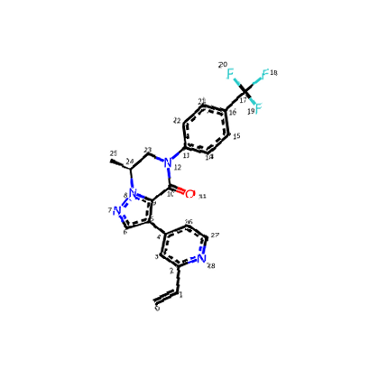 C=Cc1cc(-c2cnn3c2C(=O)N(c2ccc(C(F)(F)F)cc2)C[C@@H]3C)ccn1